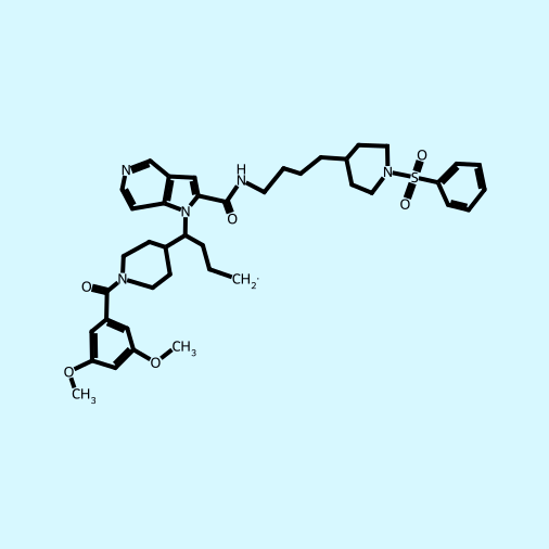 [CH2]CCC(C1CCN(C(=O)c2cc(OC)cc(OC)c2)CC1)n1c(C(=O)NCCCCC2CCN(S(=O)(=O)c3ccccc3)CC2)cc2cnccc21